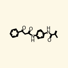 C=C(C)C(=O)Nc1ccc(NC(=O)CC(=O)c2ccccc2)cc1